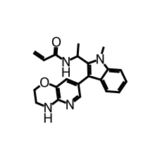 C=CC(=O)NC(C)c1c(-c2cnc3c(c2)OCCN3)c2ccccc2n1C